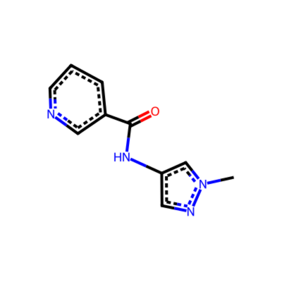 Cn1cc(NC(=O)c2cccnc2)cn1